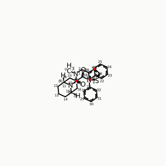 CN(Cc1ccsc1)C(=O)N1[C@@H]2CCC[C@H]1CN(C(=O)N(c1ccccc1)c1ccccc1)C2